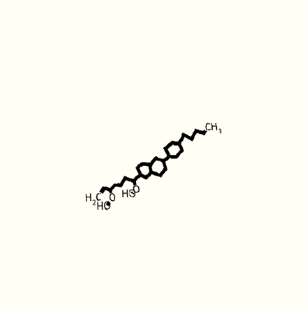 C=CC(CCCC(OO)C1CCC2CC(C3CCC(CCCCC)CC3)CCC2C1)OO